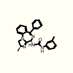 Cc1cccc(NC(=O)N[C@H]2N=C(c3ccccc3)c3ccccc3N3C[C@H](C)N=C23)c1